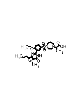 CCCc1nn(C)c2c(=O)[nH]c(-c3cc(S(=O)(=O)N4CCCN(C(C)C(=O)O)CC4)ccc3OCC)nc12